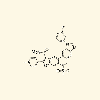 CNC(=O)c1c(-c2ccc(C)cc2)oc2cc(N(C)S(C)(=O)=O)c(-c3ccc4ncn(-c5cccc(F)c5)c4c3)cc12